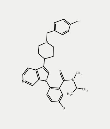 CC(C)N(C)C(=O)c1cc(F)ccc1-n1cc(C2CCN(Cc3ccc(Cl)cc3)CC2)c2ccncc21